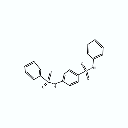 O=S(=O)(Nc1ccc(S(=O)(=O)Nc2ccccc2)cc1)c1ccccc1